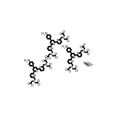 Nc1ccc(-c2cc(-c3cccc(CN(CC(=O)[O-])CC(=O)[O-])n3)nc(-c3cccc(CN(CC(=O)[O-])CC(=O)[O-])n3)c2)cc1.Nc1ccc(-c2cc(-c3cccc(CN(CC(=O)[O-])CC(=O)[O-])n3)nc(-c3cccc(CN(CC(=O)[O-])CC(=O)[O-])n3)c2)cc1.Nc1ccc(-c2cc(-c3cccc(CN(CC(=O)[O-])CC(=O)[O-])n3)nc(-c3cccc(CN(CC(=O)[O-])CC(=O)[O-])n3)c2)cc1.[Eu+3].[Eu+3].[Eu+3].[Eu+3]